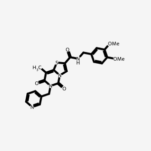 COc1ccc(CNC(=O)c2cn3c(=O)n(Cc4cccnc4)c(=O)c(C)c3s2)cc1OC